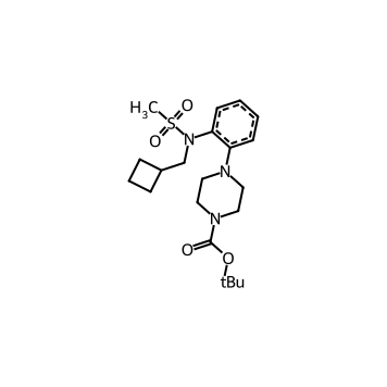 CC(C)(C)OC(=O)N1CCN(c2ccccc2N(CC2CCC2)S(C)(=O)=O)CC1